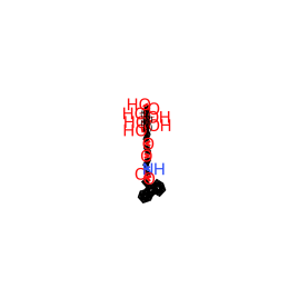 O=C(NCCOCCOCCC(O)[C@H](O)[C@@H](O)[C@@H](O)[C@H](O)C(=O)O)OCC1c2ccccc2-c2ccccc21